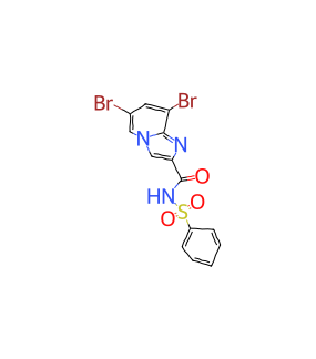 O=C(NS(=O)(=O)c1ccccc1)c1cn2cc(Br)cc(Br)c2n1